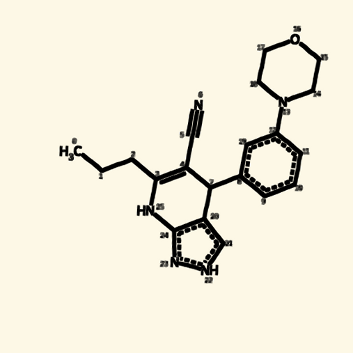 CCCC1=C(C#N)C(c2cccc(N3CCOCC3)c2)c2c[nH]nc2N1